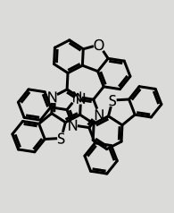 c1ccc(-c2nc(-c3ccccc3)nc(-c3cccc4oc5cccc(-c6nc(-c7cccc8c7sc7ccccc78)c7sc8ccccc8c7n6)c5c34)n2)cc1